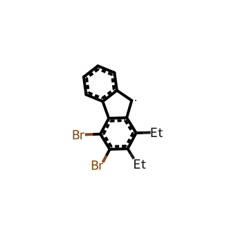 CCc1c(Br)c(Br)c2c(c1CC)[CH]c1ccccc1-2